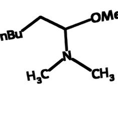 CCCCCC(OC)N(C)C